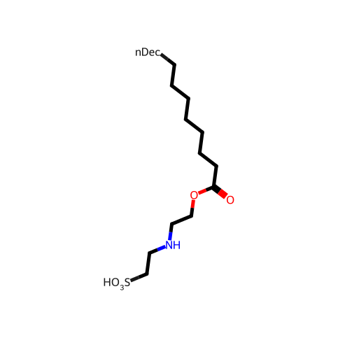 CCCCCCCCCCCCCCCCCC(=O)OCCNCCS(=O)(=O)O